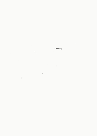 O=C(C1[C@H](c2cccc(Cl)c2)CCC(=O)N1CC1CC1)N(CO)c1cccc(Cl)c1